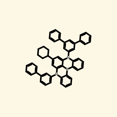 c1ccc(-c2cccc(N3c4ccccc4B4c5ccccc5N(c5cc(-c6ccccc6)cc(-c6ccccc6)c5)c5cc(C6CCCCC6)cc3c54)c2)cc1